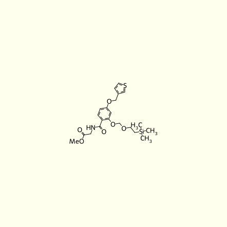 COC(=O)CNC(=O)c1ccc(OCc2ccsc2)cc1OCOCC[Si](C)(C)C